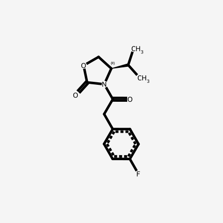 CC(C)[C@@H]1COC(=O)N1C(=O)Cc1ccc(F)cc1